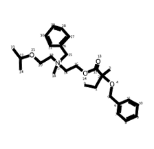 CCC(C)(OCc1ccccc1)C(=O)OCC[N+](C)(CCOC(C)C)Cc1ccccc1